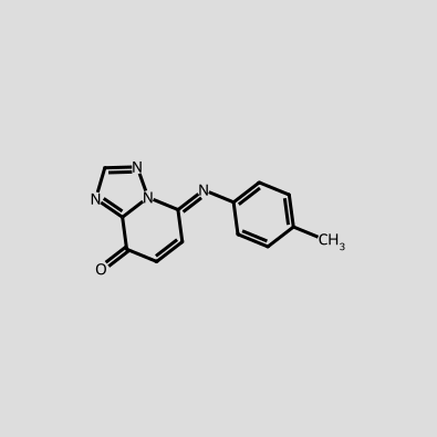 Cc1ccc(N=C2C=CC(=O)c3ncnn32)cc1